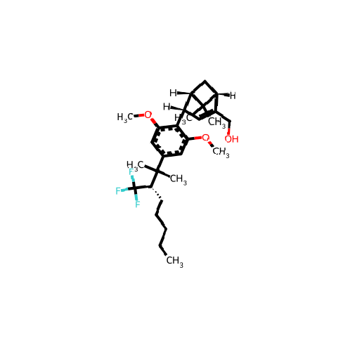 CCCCC[C@H](C(F)(F)F)C(C)(C)c1cc(OC)c([C@H]2C=C(CO)[C@H]3C[C@@H]2C3(C)C)c(OC)c1